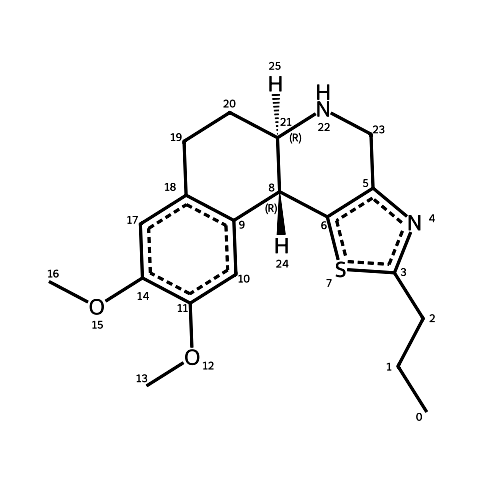 CCCc1nc2c(s1)[C@@H]1c3cc(OC)c(OC)cc3CC[C@H]1NC2